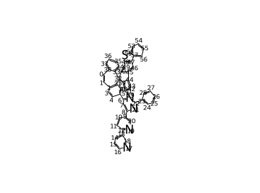 C1=Cc2ccc(-c3cc(-c4ccc(-c5cccnc5)nc4)nc(-c4ccccc4)n3)cc2C2(c3ccccc31)c1ccccc1-c1cc3c(cc12)sc1ccccc13